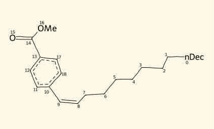 CCCCCCCCCCCCCCCCC/C=C\c1ccc(C(=O)OC)cc1